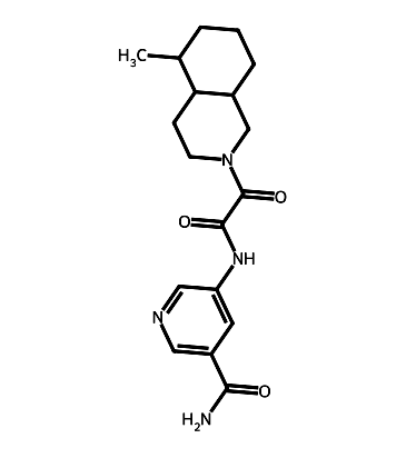 CC1CCCC2CN(C(=O)C(=O)Nc3cncc(C(N)=O)c3)CCC12